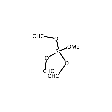 CO[Si](OC=O)(OC=O)OC=O